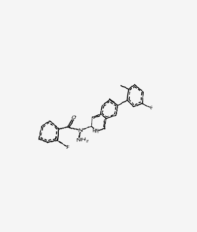 Cc1ccc(F)cc1-c1ccc2c(c1)=CNC(N(N)C(=O)c1ccccc1F)C=2